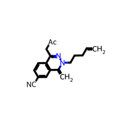 C=CCCCN1N=C(CC(C)=O)c2ccc(C#N)cc2C1=C